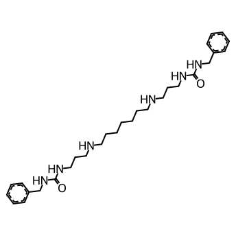 O=C(NCCCNCCCCCCCNCCCNC(=O)NCc1ccccc1)NCc1ccccc1